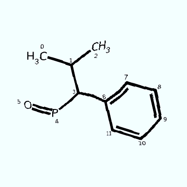 CC(C)C(P=O)c1ccccc1